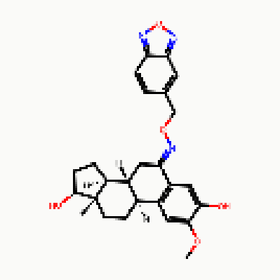 COc1cc2c(cc1O)C(=NOCc1ccc3nonc3c1)C[C@@H]1[C@@H]2CC[C@]2(C)[C@@H](O)CC[C@@H]12